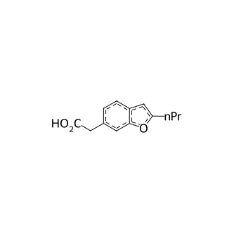 CCCc1cc2ccc(CC(=O)O)cc2o1